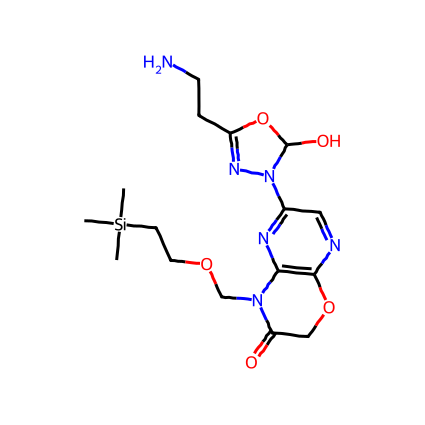 C[Si](C)(C)CCOCN1C(=O)COc2ncc(N3N=C(CCN)OC3O)nc21